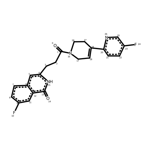 O=C(CCc1cc2ccc(F)cc2c(=O)[nH]1)N1CC=C(c2ccc(F)cn2)CC1